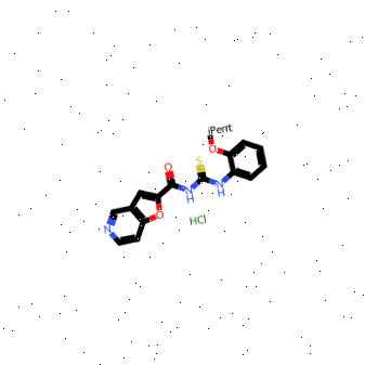 CCCC(C)Oc1ccccc1NC(=S)NC(=O)c1cc2cnccc2o1.Cl